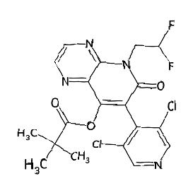 CC(C)(C)C(=O)Oc1c(-c2c(Cl)cncc2Cl)c(=O)n(CC(F)F)c2nccnc12